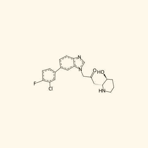 O=C(C[C@H]1NCCC[C@@H]1O)Cn1cnc2ccc(-c3ccc(F)c(Cl)c3)cc21